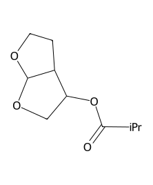 CC(C)C(=O)OC1COC2OCCC12